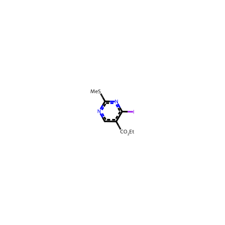 CCOC(=O)c1cnc(SC)nc1I